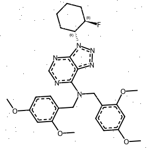 COc1ccc(CN(Cc2ccc(OC)cc2OC)c2ncnc3c2nnn3[C@@H]2CCCC[C@H]2F)c(OC)c1